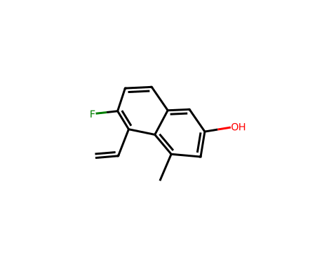 C=Cc1c(F)ccc2cc(O)cc(C)c12